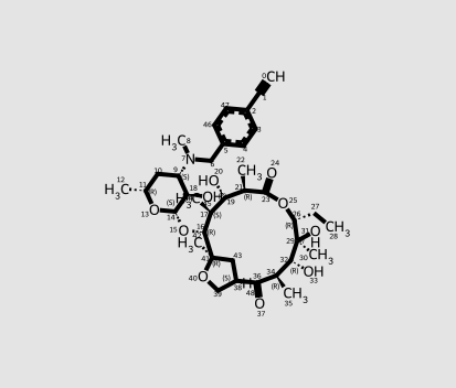 C#Cc1ccc(CN(C)[C@H]2C[C@@H](C)O[C@@H](O[C@@H]3[C@@H](C)[C@H](O)[C@@H](C)C(=O)O[C@H](CC)[C@@](C)(O)[C@H](O)[C@@H](C)C(=O)[C@@H]4CO[C@]3(C)C4)[C@@H]2O)cc1